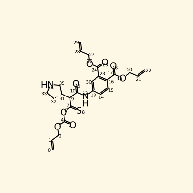 C=CCOC(=O)OC(=S)[C@H](C(=O)Nc1ccc(C(=O)OCC=C)c(C(=O)OCC=C)c1)[C@@H]1CCNC1